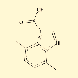 Cc1ccc(C)c2c(C(=O)O)c[nH]c12